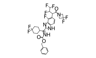 O=C(N[C@H](c1nc2c(F)c(C(C(=O)N3CC(F)(F)C3)C(F)C(F)F)ccc2[nH]1)C1CCC(F)(F)CC1)OCc1ccccc1